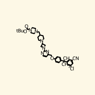 CC(C)(C)OC(=O)N1CCN(CC2CCN(C3CN(c4nccc(COc5ccc(C(C)(C)c6cc(Cl)cc(C#N)c6)cc5)n4)C3)CC2)CC1